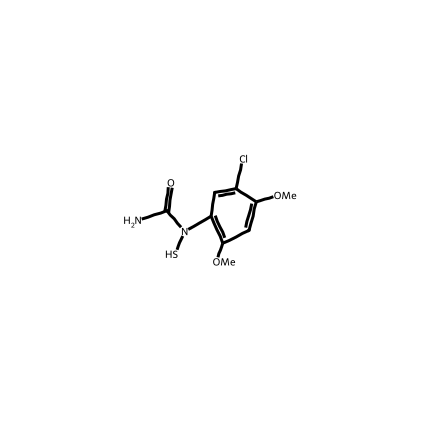 COc1cc(OC)c(N(S)C(N)=O)cc1Cl